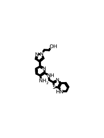 Nc1ccc(-c2cnn(CCO)c2)nc1NCc1nc2c(s1)NCC=C2